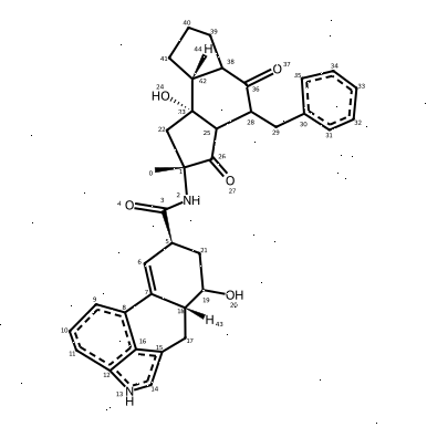 C[C@@]1(NC(=O)[C@@H]2C=C3c4cccc5[nH]cc(c45)C[C@H]3C(O)C2)C[C@]2(O)C(C1=O)C(Cc1ccccc1)C(=O)C1CCC[C@H]12